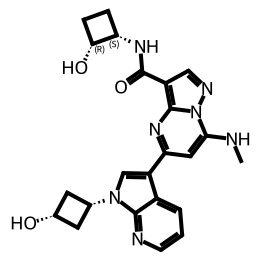 CNc1cc(-c2cn([C@H]3C[C@@H](O)C3)c3ncccc23)nc2c(C(=O)N[C@H]3CC[C@H]3O)cnn12